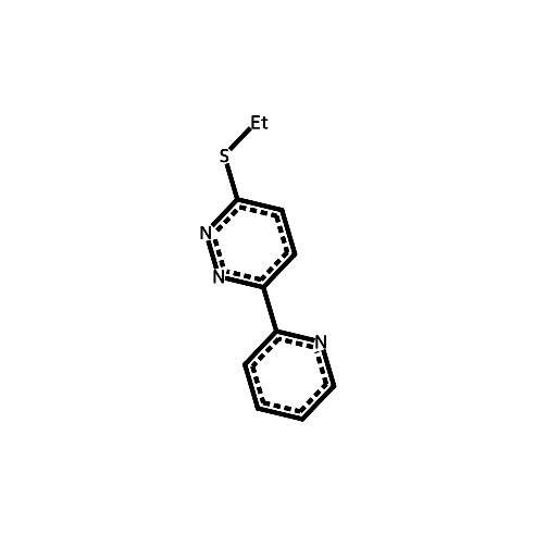 CCSc1ccc(-c2ccccn2)nn1